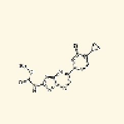 CC(C)(C)OC(=O)Nc1nc2ncc(-c3ccn(C4CC4)c(=O)c3)nc2s1